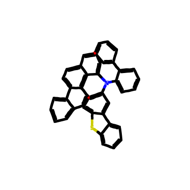 c1ccc(-c2ccccc2N(c2ccc3sc4ccccc4c3c2)c2cccc3ccc4c5ccccc5ccc4c23)cc1